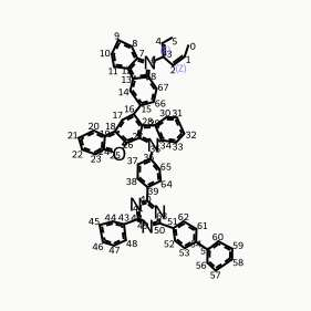 C/C=C\C(=C/C)n1c2ccccc2c2cc(-c3cc4c5ccccc5oc4c4c3c3ccccc3n4-c3ccc(-c4nc(-c5ccccc5)nc(-c5ccc(-c6ccccc6)cc5)n4)cc3)ccc21